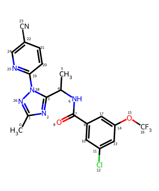 Cc1nc(C(C)NC(=O)c2cc(Cl)cc(OC(F)(F)F)c2)n(-c2ccc(C#N)cn2)n1